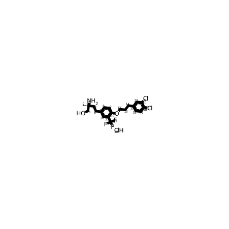 C[C@@](N)(CO)CCc1ccc(OCCCc2ccc(Cl)c(Cl)c2)c(C(F)(F)F)c1.Cl